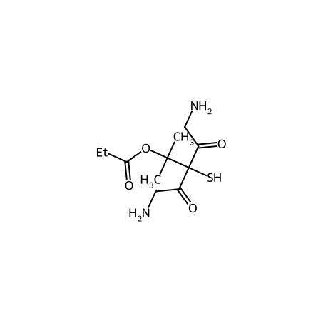 CCC(=O)OC(C)(C)C(S)(C(=O)CN)C(=O)CN